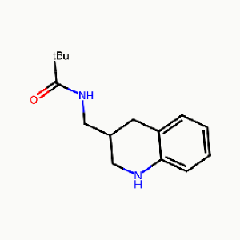 CC(C)(C)C(=O)NCC1CNc2ccccc2C1